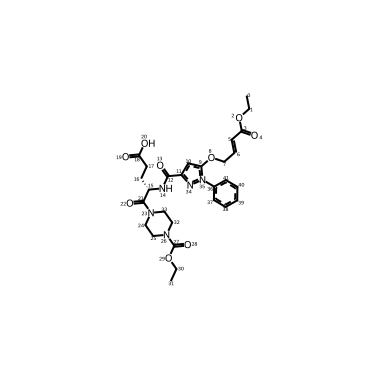 CCOC(=O)/C=C/COc1cc(C(=O)N[C@@H](CCC(=O)O)C(=O)N2CCN(C(=O)OCC)CC2)nn1-c1ccccc1